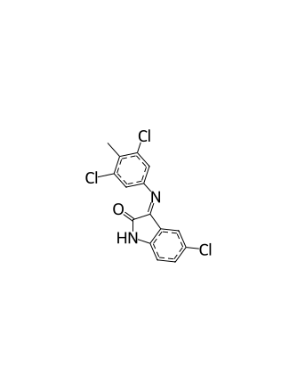 Cc1c(Cl)cc(N=C2C(=O)Nc3ccc(Cl)cc32)cc1Cl